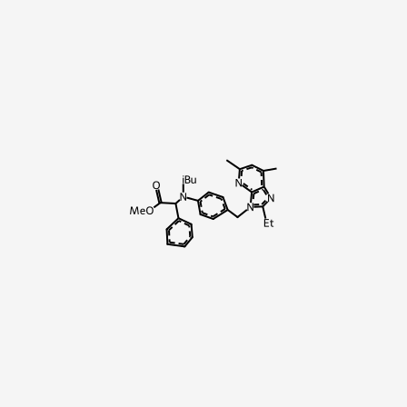 CCc1nc2c(C)cc(C)nc2n1Cc1ccc(N(C(C)CC)C(C(=O)OC)c2ccccc2)cc1